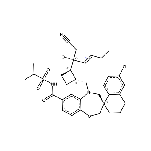 CC/C=C/[C@](O)(CC#N)[C@@H]1CC[C@H]1CN1C[C@@]2(CCCc3cc(Cl)ccc32)COc2ccc(C(=O)NS(=O)(=O)C(C)C)cc21